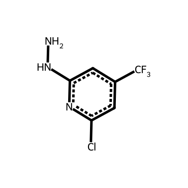 NNc1cc(C(F)(F)F)cc(Cl)n1